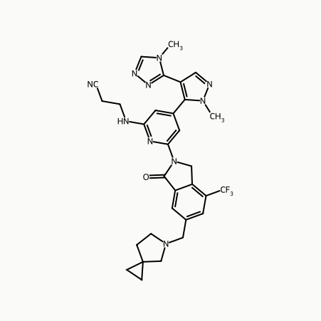 Cn1cnnc1-c1cnn(C)c1-c1cc(NCCC#N)nc(N2Cc3c(cc(CN4CCC5(CC5)C4)cc3C(F)(F)F)C2=O)c1